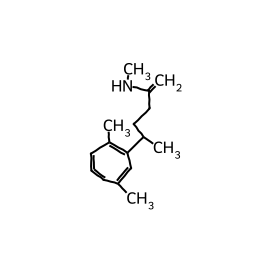 C=C(CCC(C)C1=C(C)C=C=CC(C)=C1)NC